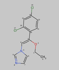 CCOC(=Cn1ccnc1)c1ccc(Cl)cc1Cl